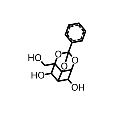 OCC12CC3OC(c4ccccc4)(OC(C3O)C1O)O2